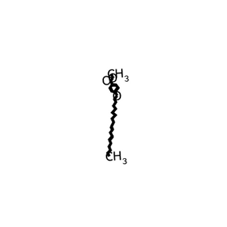 CCCCC/C=C/C/C=C/CCCCCCCCOc1ccc(C(=O)OC)cc1